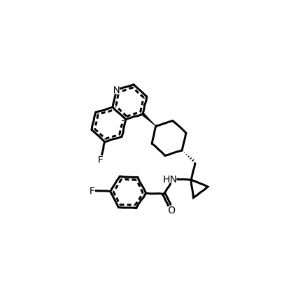 O=C(NC1(C[C@H]2CC[C@H](c3ccnc4ccc(F)cc43)CC2)CC1)c1ccc(F)cc1